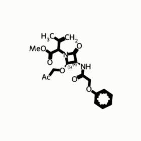 C=C(C)C(C(=O)OC)N1C(=O)[C@H](NC(=O)COc2ccccc2)[C@@H]1OCC(C)=O